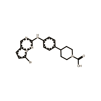 O=C(O)N1CCC(c2ccc(Nc3ncc4ccc(Br)n4n3)cc2)CC1